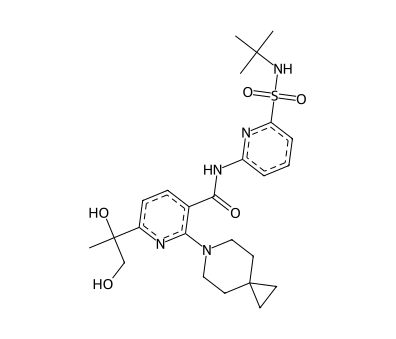 CC(C)(C)NS(=O)(=O)c1cccc(NC(=O)c2ccc(C(C)(O)CO)nc2N2CCC3(CC2)CC3)n1